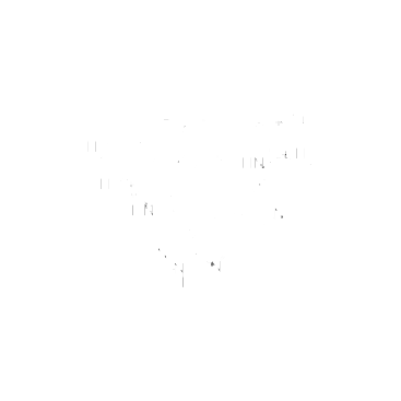 C=C/C=C(/c1ccccc1F)c1cc(-c2n[nH]c3ncc(-c4cncc(NC(=C)CC(C)(C)C)c4)cc23)[nH]c1C